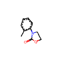 Cc1ccccc1N1CCOC1=O